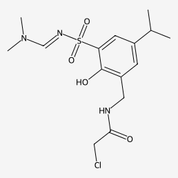 CC(C)c1cc(CNC(=O)CCl)c(O)c(S(=O)(=O)N=CN(C)C)c1